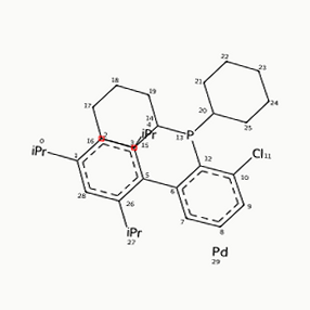 CC(C)c1cc(C(C)C)c(-c2cccc(Cl)c2P(C2CCCCC2)C2CCCCC2)c(C(C)C)c1.[Pd]